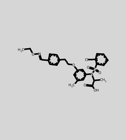 CCON=Cc1ccc(CCOc2cc(C)cc(N(C(C)C(=O)O)S(=O)(=O)c3ccccc3Cl)c2)cc1